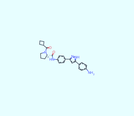 Nc1ccc(-c2cc(-c3ccc(NC(=O)[C@@H]4CCCN4C(=O)C4CCC4)cc3)n[nH]2)cc1